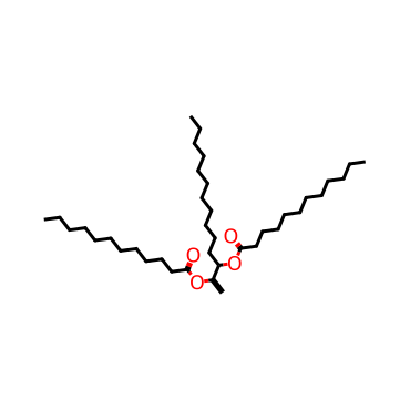 C=C(OC(=O)CCCCCCCCCCC)C(CCCCCCCCCCC)OC(=O)CCCCCCCCCCC